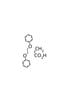 C=CC(=O)O.c1ccc(OCCOc2ccccc2)cc1